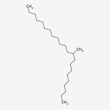 [CH2]CCCCCCCCC(C)CCCCCCCCCCCC